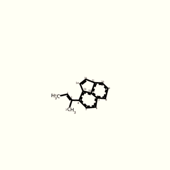 CC=C(C)c1ccc2cccc3c2c1C=C3